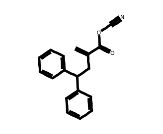 C=C(CC(c1ccccc1)c1ccccc1)C(=O)OC#N